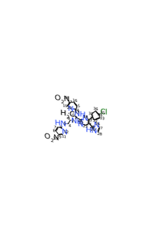 [CH2]C(NCCNc1ccc([N+](=O)[O-])cn1)(Nc1ccc([N+](=O)[O-])cn1)c1ncc(-c2ncc[nH]2)c(-c2ccc(Cl)cc2)n1